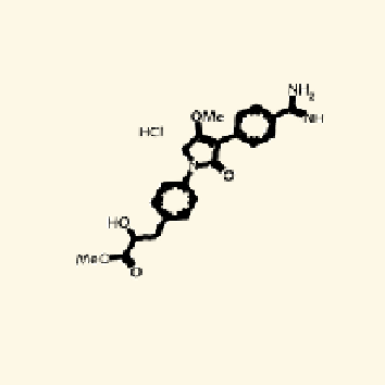 COC(=O)C(O)Cc1ccc(N2CC(OC)=C(c3ccc(C(=N)N)cc3)C2=O)cc1.Cl